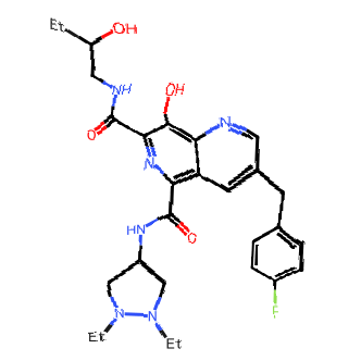 CCC(O)CNC(=O)c1nc(C(=O)NC2CN(CC)N(CC)C2)c2cc(Cc3ccc(F)cc3)cnc2c1O